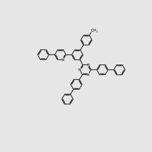 Cc1ccc(-c2cc(-c3ccc(-c4ccccc4)cn3)cc(-c3nc(-c4ccc(-c5ccccc5)cc4)nc(-c4ccc(-c5ccccc5)cc4)n3)c2)cc1